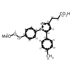 COOSc1ccc(-n2nc(CCC(=O)O)cc2-c2ccc(C)cc2)cc1